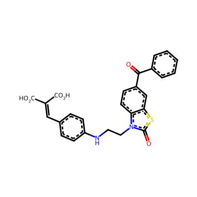 O=C(O)C(=Cc1ccc(NCCn2c(=O)sc3cc(C(=O)c4ccccc4)ccc32)cc1)C(=O)O